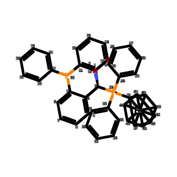 CN(C)[C@H](c1ccccc1P(c1ccccc1)c1ccccc1)[P](c1ccccc1)(c1ccccc1)[C]12[CH]3[CH]4[CH]5[CH]1[Fe]45321678[CH]2[CH]1[CH]6[CH]7[CH]28